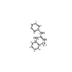 N=C(Nc1ncccn1)Nc1ccccc1C(F)(F)F